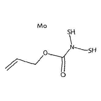 C=CCOC(=O)N(S)S.[Mo]